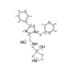 CC(C)(C)[C@@H](NCC1(O)CCNC1)c1nc(-c2ccccc2)cn1Cc1ccccc1